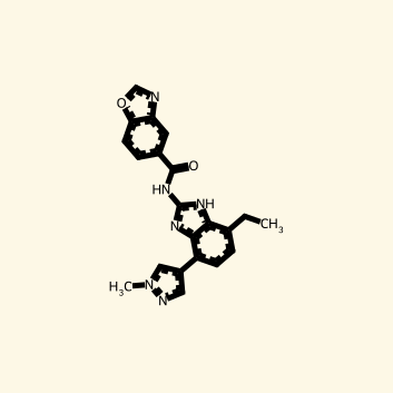 CCc1ccc(-c2cnn(C)c2)c2nc(NC(=O)c3ccc4ocnc4c3)[nH]c12